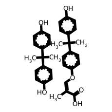 CC(=COc1ccc(C(C)(C)c2ccc(O)cc2)cc1)C(=O)O.CC(C)(c1ccc(O)cc1)c1ccc(O)cc1